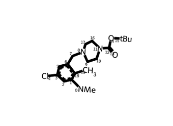 CNc1cc(Cl)cc(CN2CCN(C(=O)OC(C)(C)C)CC2)c1C